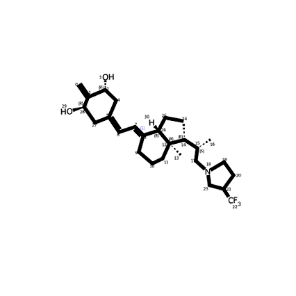 C=C1[C@H](O)CC(=C/C=C2\CCC[C@]3(C)[C@@H]([C@H](C)CN4CCC(C(F)(F)F)C4)CC[C@@H]23)C[C@H]1O